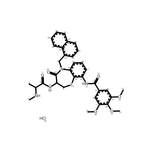 CNC(C)C(=O)NC1CSc2c(NC(=O)c3cc(OC)c(OC)c(OC)c3)cccc2N(Cc2cccc3ccccc23)C1=O.Cl